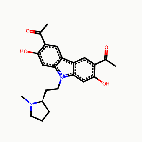 CC(=O)c1cc2c3cc(C(C)=O)c(O)cc3n(CC[C@H]3CCCN3C)c2cc1O